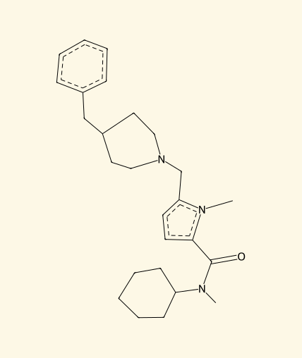 CN(C(=O)c1ccc(CN2CCC(Cc3ccccc3)CC2)n1C)C1CCCCC1